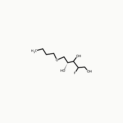 CCCCOC[C@@H](O)C(O)C(F)CO